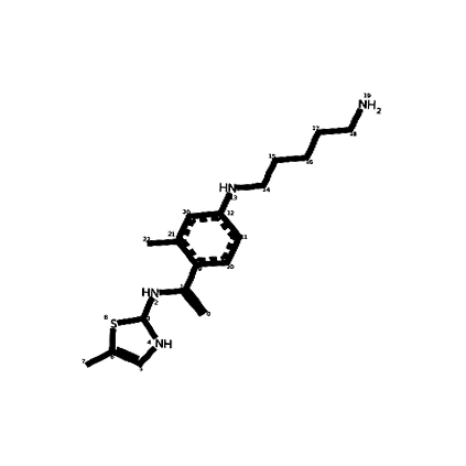 C=C(NC1NC=C(C)S1)c1ccc(NCCCCCN)cc1C